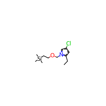 CCc1cc(Cl)cn1COCC[Si](C)(C)C